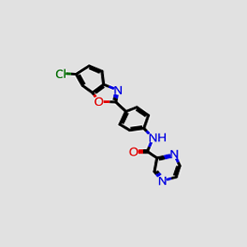 O=C(Nc1ccc(-c2nc3ccc(Cl)cc3o2)cc1)c1cnccn1